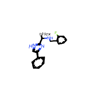 CCCCCCC(NCc1ccccc1F)c1nc(-c2ccccc2)c[nH]1